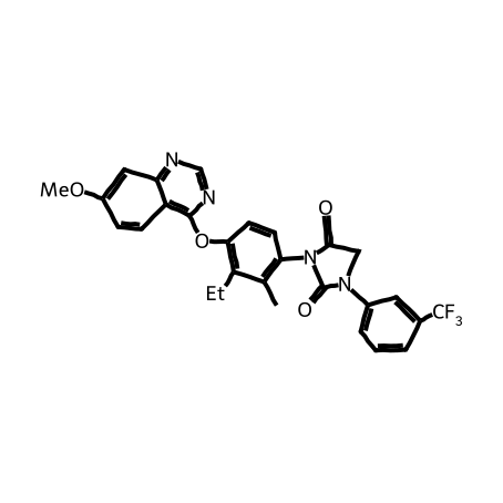 CCc1c(Oc2ncnc3cc(OC)ccc23)ccc(N2C(=O)CN(c3cccc(C(F)(F)F)c3)C2=O)c1C